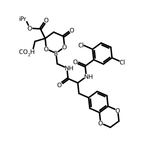 CC(C)OC(=O)C1(CC(=O)O)CC(=O)OB(CNC(=O)C(Cc2ccc3c(c2)OCCO3)NC(=O)c2cc(Cl)ccc2Cl)O1